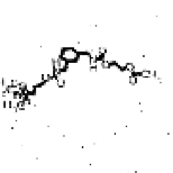 CO[Si](CCCOC(=O)NCC1CCCC(CNC(=O)OCCOC(C)=O)C1)(OC)OC